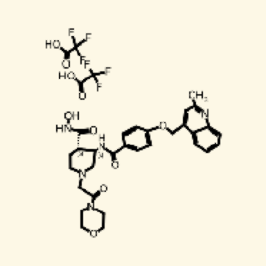 Cc1cc(COc2ccc(C(=O)N[C@@H]3CN(CC(=O)N4CCOCC4)CC[C@@H]3C(=O)NO)cc2)c2ccccc2n1.O=C(O)C(F)(F)F.O=C(O)C(F)(F)F